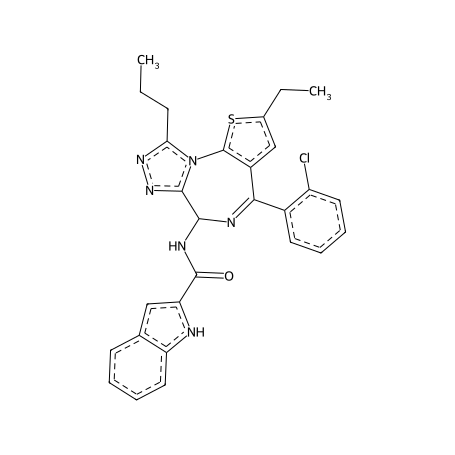 CCCc1nnc2n1-c1sc(CC)cc1C(c1ccccc1Cl)=NC2NC(=O)c1cc2ccccc2[nH]1